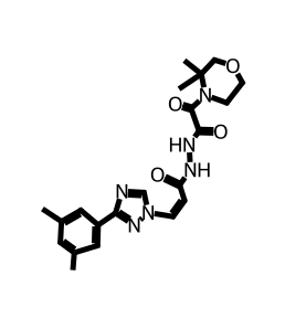 Cc1cc(C)cc(-c2ncn(/C=C\C(=O)NNC(=O)C(=O)N3CCOCC3(C)C)n2)c1